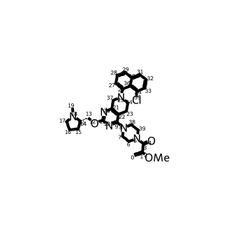 C=C(OC)C(=O)N1CCN(c2nc(OC[C@@H]3CCCN3C)nc3c2CCN(c2cccc4cccc(Cl)c24)C3)CC1